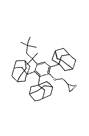 CC(C)(C)CC(C)(C)c1cc(C23CC4CC(CC(C4)C2)C3)c(OCC2CO2)c(C23CC4CC(CC(C4)C2)C3)c1C12CC3CC(CC(C3)C1)C2